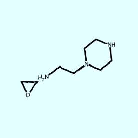 C1CO1.NCCN1CCNCC1